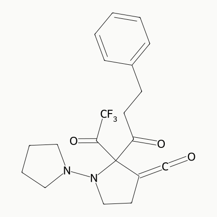 O=C=C1CCN(N2CCCC2)C1(C(=O)CCc1ccccc1)C(=O)C(F)(F)F